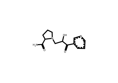 NC(=O)C1CCCN1CC(O)C(=O)c1cccnc1